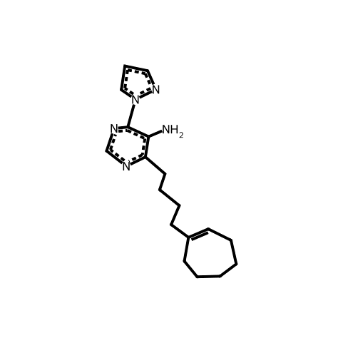 Nc1c(CCCCC2=CCCCCC2)ncnc1-n1cccn1